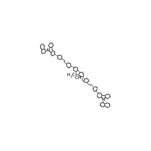 CC1(C)c2cc(-c3ccc(/C=C/c4ccc(-c5ccc6c(c5)c5ccccc5n6-c5cccc6ccccc56)cc4)cc3)ccc2-c2ccc(-c3ccc(/C=C/c4ccc(-c5ccc6c(c5)c5ccccc5n6-c5cccc6ccccc56)cc4)cc3)cc21